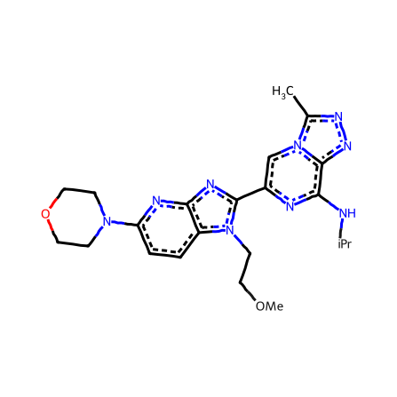 COCCn1c(-c2cn3c(C)nnc3c(NC(C)C)n2)nc2nc(N3CCOCC3)ccc21